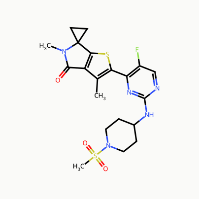 Cc1c(-c2nc(NC3CCN(S(C)(=O)=O)CC3)ncc2F)sc2c1C(=O)N(C)C21CC1